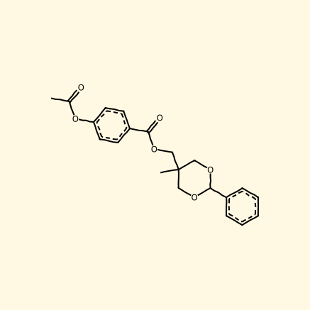 CC(=O)Oc1ccc(C(=O)OCC2(C)COC(c3ccccc3)OC2)cc1